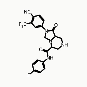 N#Cc1ccc(N2CN3C(C(=O)Nc4ccc(F)cc4)CNCC3C2=O)cc1C(F)(F)F